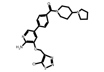 Nc1ncc(-c2ccc(C(=O)N3CCC(N4CCCC4)CC3)cc2)cc1OCc1nnsc1Cl